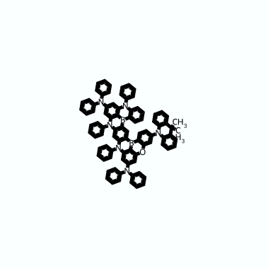 CC1(C)c2ccccc2N(c2ccc3c(c2)Oc2cc(N(c4ccccc4)c4ccccc4)cc4c2B3c2cc3c(cc2N4c2ccccc2)N(c2ccccc2)c2cc(N(c4ccccc4)c4ccccc4)cc4c2B3c2ccccc2N4c2ccccc2)c2ccccc21